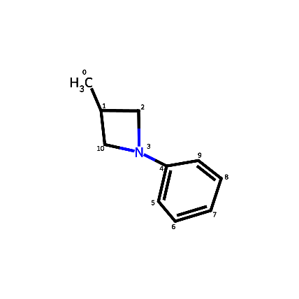 CC1CN(c2ccccc2)C1